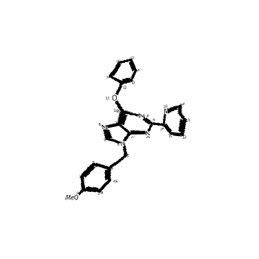 COc1ccc(Cn2cnc3c(Oc4ccccc4)nc(-c4ccccn4)nc32)cc1